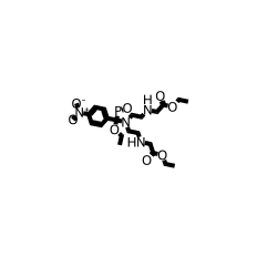 CCOC(=O)CNCCN(CCNCC(=O)OCC)C(OCC)(P=O)c1ccc([N+](=O)[O-])cc1